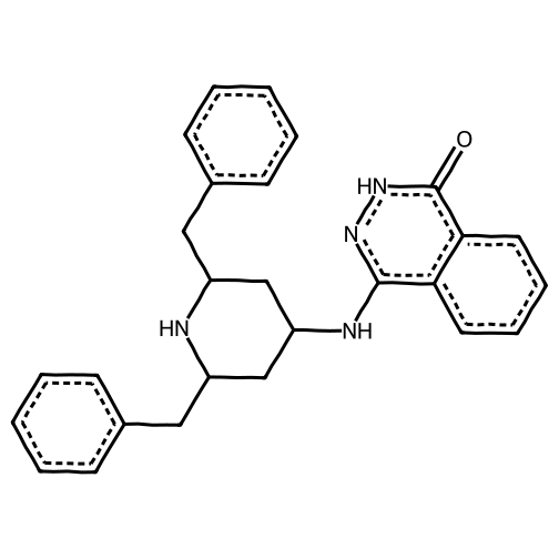 O=c1[nH]nc(NC2CC(Cc3ccccc3)NC(Cc3ccccc3)C2)c2ccccc12